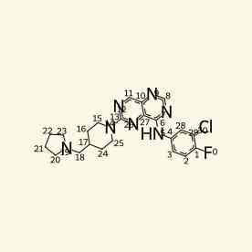 Fc1ccc(Nc2ncnc3cnc(N4CCC(CN5CCCC5)CC4)nc23)cc1Cl